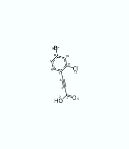 O=C(O)C#Cc1ccc(Br)cc1Cl